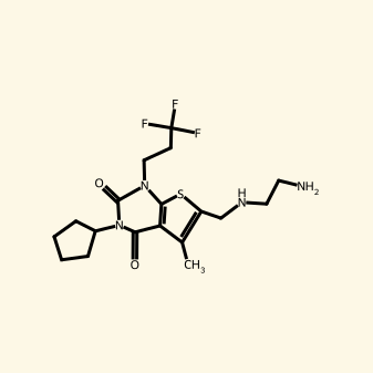 Cc1c(CNCCN)sc2c1c(=O)n(C1CCCC1)c(=O)n2CCC(F)(F)F